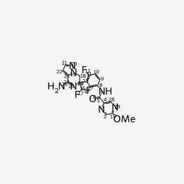 COc1cnc(C(=O)Nc2ccc(F)c([C@@]3(C(F)F)Cn4nccc4C(N)=N3)c2)cn1